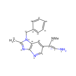 CN/C(=C\N)c1cnc2nc(C)n(Cc3ccccc3)c2c1